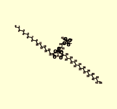 CCCCCCCCCCCCCCCCCC(=O)O[N+](C)(OCC)OC(=O)CCCCCCCCCCCCCCCCC.COS(=O)(=O)[O-]